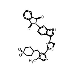 Cc1cnc(-c2nc(-c3c[nH]c4nc(N5C(=O)c6ccccc6C5=O)ccc34)cs2)n1CC1CCS(=O)(=O)CC1